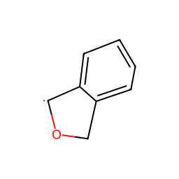 [CH]1OCc2ccccc21